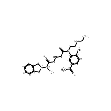 CCNCCN(C(=O)CNCC(=O)N(C)N1Cc2ccccc2C1)c1cc(C(C)=O)ccc1C